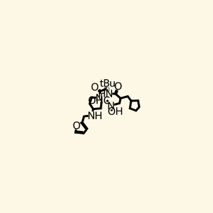 CC(C)(C)[C@H](NC(=O)C(CC1CCCC1)CN(O)C=O)C(=O)N1CCC(NCc2ccco2)CC1